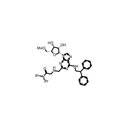 COC[C@H]1O[C@@H](n2cnc3c(NCC(c4ccccc4)c4ccccc4)nc(CNCC(=O)N(C(C)C)C(C)C)nc32)[C@@H](O)[C@@H]1O